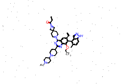 C=CC(=O)N1CC2(CCN(c3nc(C4CCN(C5CCN(C(C)=O)CC5)CC4)nc4c(OCC(F)(F)F)c(-c5c(C)ccc6[nH]ncc56)c(C=C)cc34)CC2)C1